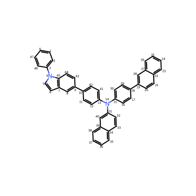 c1ccc(-n2ccc3cc(-c4ccc(N(c5ccc(-c6ccc7ccccc7c6)cc5)c5ccc6ccccc6c5)cc4)ccc32)cc1